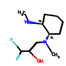 CN[C@H]1CCCC[C@@H]1N(C)CC(O)C(F)F